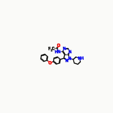 O=C(Nc1ncnc2c1c(-c1ccc(Oc3ccccc3)cc1)nn2C1CCCNC1)C(F)(F)F